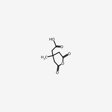 CC1(CC(=O)O)CC(=O)OC(=O)C1